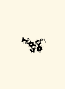 C=C(c1ccc(NC(=O)C2CC2)cc1N1CCCC1)N1CCN(C)CC1c1ccccc1Cl